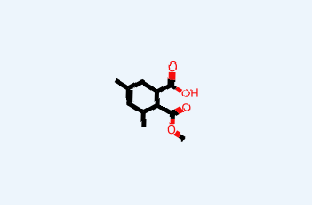 COC(=O)C1C(C)C=C(C)CC1C(=O)O